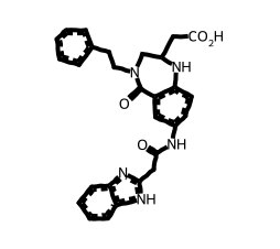 O=C(O)CC1CN(CCc2ccccc2)C(=O)c2cc(NC(=O)Cc3nc4ccccc4[nH]3)ccc2N1